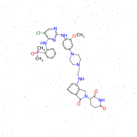 COc1cc(N2CCN(CCNc3cccc4c3CN(C3CCC(=O)NC3=O)C4=O)CC2)ccc1Nc1ncc(Cl)c(Nc2ccccc2P(C)(C)=O)n1